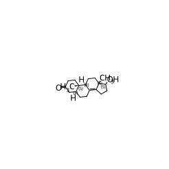 C[C@]12CCC(=O)C[C@@H]1CCC1=C3CC[C@H](O)[C@@]3(C)CC[C@@H]12